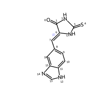 O=C1NC(=S)N/C1=C\c1ccc2[nH]cnc2c1